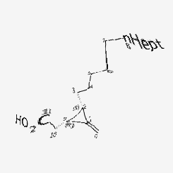 C=C1[C@@H](CCCCCCCCCCCC)[C@H]1CC(=O)O